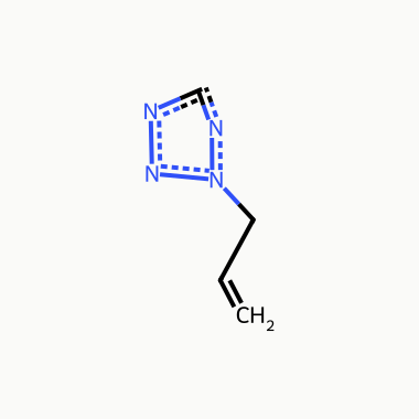 C=CCn1ncnn1